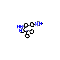 CN1CCN(c2ccc(-c3ccc4[nH]c5nccc(/C(=C/c6ccccc6)c6ccccc6)c5c4c3)cc2)CC1